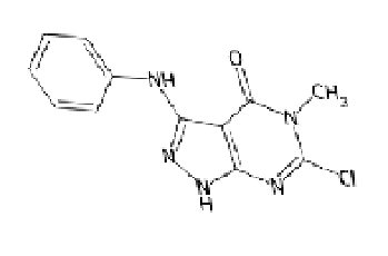 Cn1c(Cl)nc2[nH]nc(Nc3ccccc3)c2c1=O